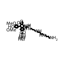 COc1cc(C2c3cc4c(cc3C(NC(=O)CNCCCCNCCCCNCCCCN)C3COC(=O)C23)OCO4)cc(OC)c1O.Cl.Cl.Cl.Cl